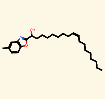 CCCCCCCC/C=C\CCCCCCCC(O)c1nc2cc(C)ccc2o1